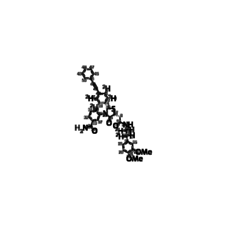 [2H]c1c([2H])c([C@@H]2S[C@H](CC(=O)NC([2H])([2H])C([2H])([2H])c3ccc(OC)c(OC)c3)C(=O)N2c2cccc(C(N)=O)c2)c([2H])c([2H])c1C#Cc1ccccc1